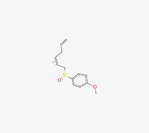 C=CC/C=[C]\C[S+]([O-])c1ccc(OC)cc1